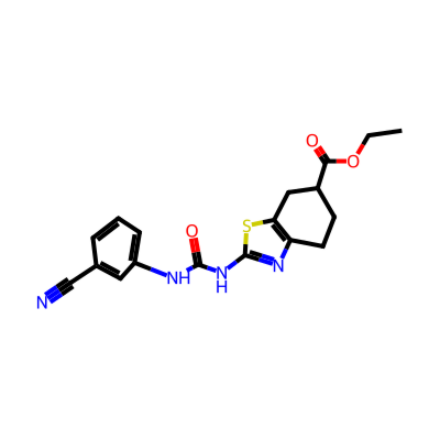 CCOC(=O)C1CCc2nc(NC(=O)Nc3cccc(C#N)c3)sc2C1